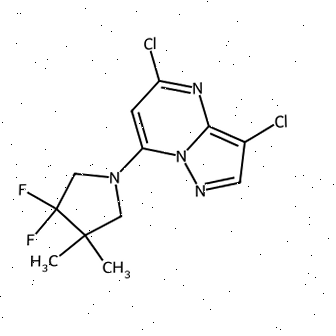 CC1(C)CN(c2cc(Cl)nc3c(Cl)cnn23)CC1(F)F